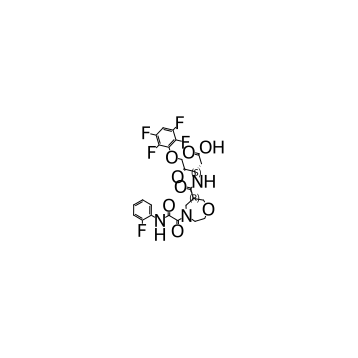 O=C(O)C[C@H](NC(=O)[C@H]1COCCN(C(=O)C(=O)Nc2ccccc2F)C1)C(=O)COc1c(F)c(F)cc(F)c1F